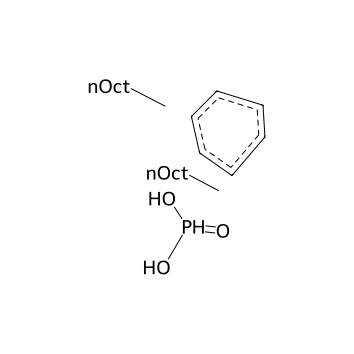 CCCCCCCCC.CCCCCCCCC.O=[PH](O)O.c1ccccc1